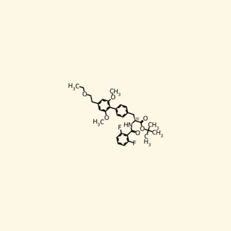 CCOCCc1cc(OC)c(-c2ccc(C[C@H](NC(=O)c3c(F)cccc3F)C(=O)OC(C)(C)C)cc2)c(OC)c1